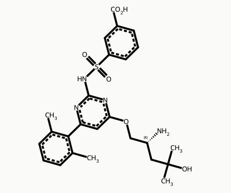 Cc1cccc(C)c1-c1cc(OC[C@H](N)CC(C)(C)O)nc(NS(=O)(=O)c2cccc(C(=O)O)c2)n1